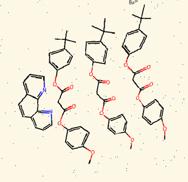 COc1ccc(OC(=O)CC(=O)Oc2ccc(C(C)(C)C)cc2)cc1.COc1ccc(OC(=O)CC(=O)Oc2ccc(C(C)(C)C)cc2)cc1.COc1ccc(OC(=O)CC(=O)Oc2ccc(C(C)(C)C)cc2)cc1.[Eu+3].c1cnc2c(c1)ccc1cccnc12